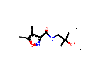 CCc1onc(C(=O)NCC(C)(C)O)c1C